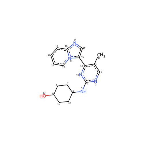 Cc1cnc(NC2CCC(O)CC2)nc1-c1cnc2ccccn12